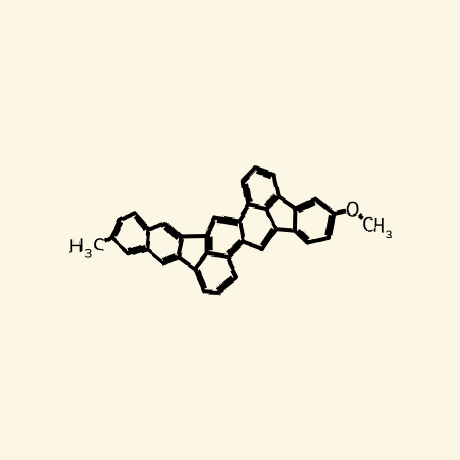 COc1ccc2c(c1)c1cccc3c4cc5c6cc7ccc(C)cc7cc6c6cccc(c4cc2c13)c65